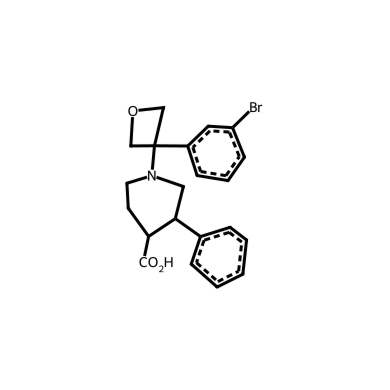 O=C(O)C1CCN(C2(c3cccc(Br)c3)COC2)CC1c1ccccc1